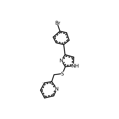 Brc1ccc(-c2c[nH]c(SCc3[c]cccn3)n2)cc1